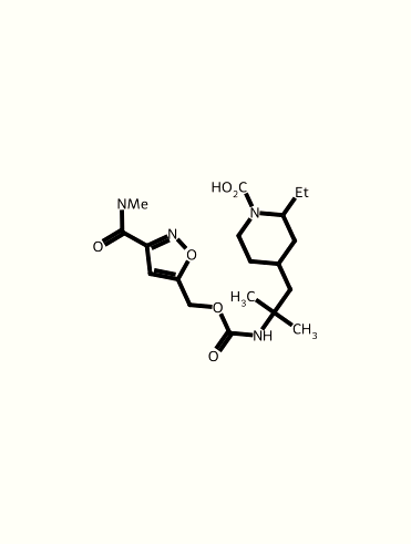 CCC1CC(CC(C)(C)NC(=O)OCc2cc(C(=O)NC)no2)CCN1C(=O)O